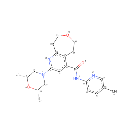 C[C@@H]1CN(c2cc(C(=O)Nc3ccc(C#N)cn3)c3c(n2)CCOCC3)C[C@H](C)O1